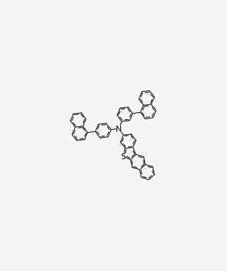 c1cc(-c2cccc3ccccc23)cc(N(c2ccc(-c3cccc4ccccc34)cc2)c2ccc3c(c2)sc2cc4ccccc4cc23)c1